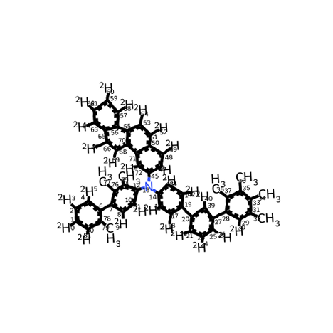 [2H]c1c([2H])c([2H])c(-c2c([2H])c([2H])c(N(c3c([2H])c([2H])c(-c4c([2H])c([2H])c([2H])c(-c5c([2H])c(C)c(C)c(C)c5C)c4[2H])c([2H])c3[2H])c3c([2H])c([2H])c4c([2H])c([2H])c5c6c([2H])c([2H])c([2H])c([2H])c6c([2H])c([2H])c5c4c3[2H])c(C)c2C)c(C)c1[2H]